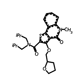 CC(C)CN(CC(C)C)C(=O)c1sc2c(c1OCC1CCCO1)c(=O)n(C)c1ccccc21